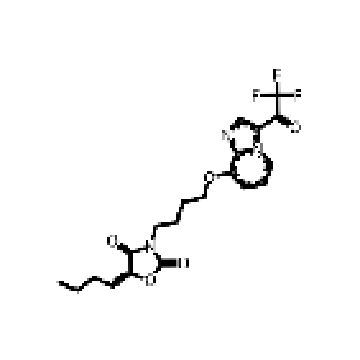 CCC/C=C1/OC(=O)N(CCCCOc2cccn3c(C(=O)C(F)(F)F)cnc23)C1=O